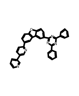 c1ccc(-c2nc(-c3ccccc3)nc(-c3ccc4oc5ccc(-c6ccc(-c7cccnc7)cn6)cc5c4c3)n2)cc1